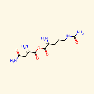 NC(=O)C[C@H](N)C(=O)OC(=O)[C@@H](N)CCCNC(N)=O